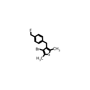 Cc1sc(C)c(Cc2ccc(CF)cc2)c1Br